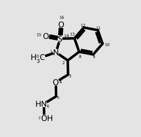 CN1C(COCNO)c2ccccc2S1(=O)=O